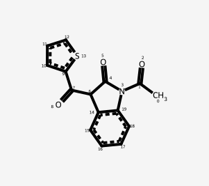 CC(=O)N1C(=O)C(C(=O)c2cccs2)c2ccccc21